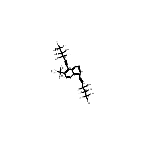 CC(C)(C)c1ccc2c(C#CC(F)(F)C(F)(F)C(F)(F)F)cccc2c1C#CC(F)(F)C(F)(F)C(F)(F)F